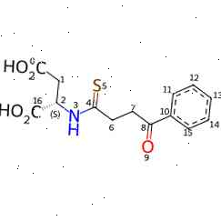 O=C(O)C[C@H](NC(=S)CCC(=O)c1ccccc1)C(=O)O